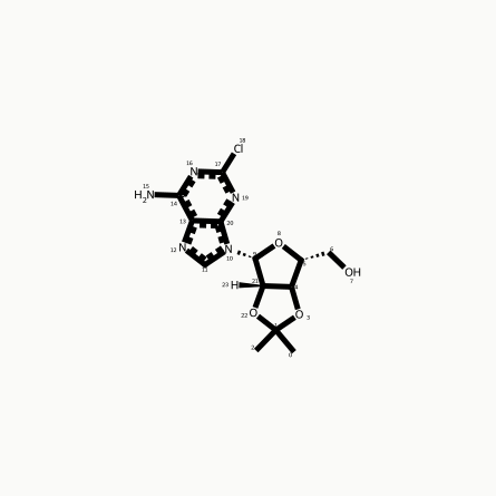 CC1(C)OC2[C@@H](CO)O[C@@H](n3cnc4c(N)nc(Cl)nc43)[C@H]2O1